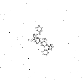 Cc1cc(-c2nncn2C2CCCCO2)ccc1C1=CN(CCC2CCOCC2)C(C)(C)C=N1